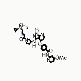 COc1ccnc(NC(=O)c2ccc(Oc3ccnc4[nH]nc(NC5CCN(C(=O)/C=C/CN(C)C6CC6)C5)c34)cc2)c1